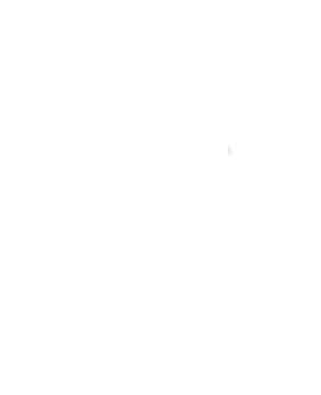 O=C(O)CS(c1ccccc1)(c1ccccc1)c1ccccc1.[CaH2]